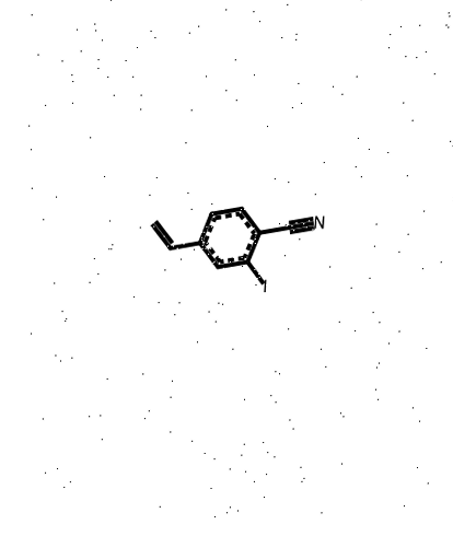 C=Cc1ccc(C#N)c(I)c1